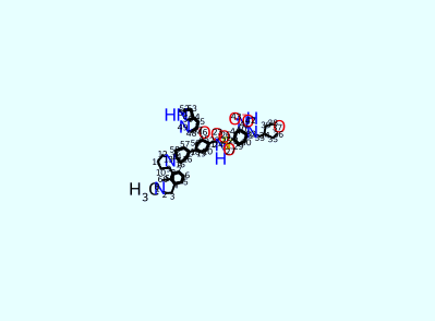 CN1CCc2cccc(C3CCCN3c3ccc(-c4ccc(C(=O)NS(=O)(=O)c5ccc(NCC6CCOCC6)c([N+](=O)[O-])c5)c(Oc5cnc6[nH]ccc6c5)c4)cc3)c2C1